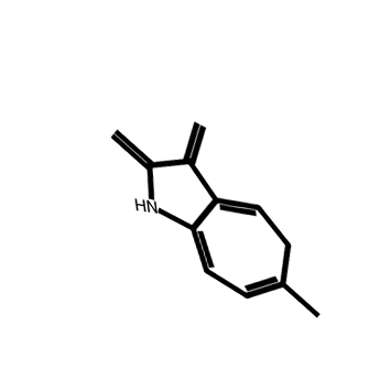 C=c1[nH]c2c(c1=C)=CCC(C)=CC=2